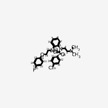 CN(C)CCN(c1ccccc1NCCOc1ccc(F)cc1)S(=O)(=O)c1ccc(Cl)cc1